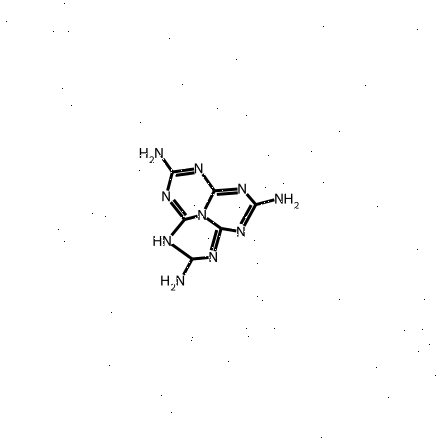 NC1=NC2=NC(N)=NC3=NC(N)NC(=N1)N23